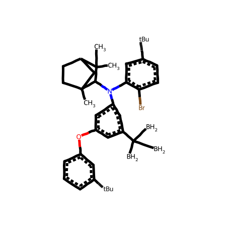 BC(B)(B)c1cc(Oc2cccc(C(C)(C)C)c2)cc(N(c2cc(C(C)(C)C)ccc2Br)C2C3(C)CCC(C3)C2(C)C)c1